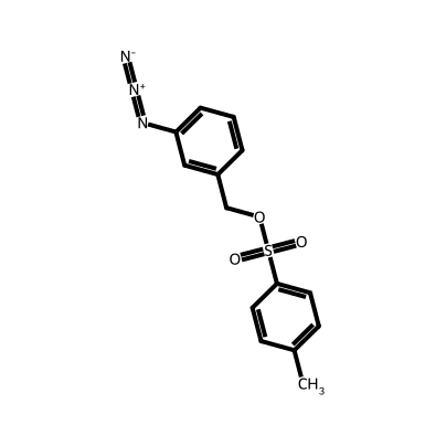 Cc1ccc(S(=O)(=O)OCc2cccc(N=[N+]=[N-])c2)cc1